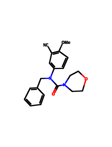 COc1ccc(N(Cc2ccccc2)C(=O)N2CCOCC2)cc1C#N